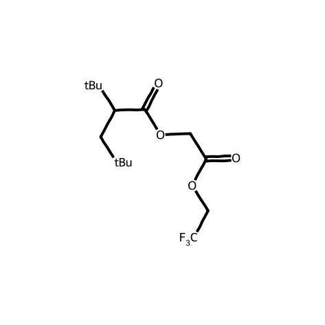 CC(C)(C)CC(C(=O)OCC(=O)OCC(F)(F)F)C(C)(C)C